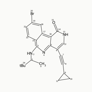 CC(Nc1nc2c(C#CC3CC3)c[nH]c(=O)c2c2cc(Br)ccc12)C(C)(C)C